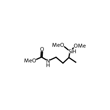 COC(=O)NCCC(C)[SiH](OC)OC